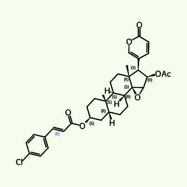 CC(=O)O[C@H]1C2O[C@]23[C@@H]2CC[C@@H]4C[C@@H](OC(=O)/C=C/c5ccc(Cl)cc5)CC[C@]4(C)[C@H]2CC[C@]3(C)[C@H]1c1ccc(=O)oc1